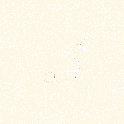 O=C1CCC2(CN(C(=O)N3CCC(Cc4cccc(Cl)c4)CC3)C2)N1